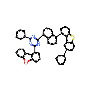 c1ccc(-c2ccc3sc4cccc(-c5cccc6c(-c7nc(-c8ccccc8)nc(-c8cccc9oc%10ccccc%10c89)n7)cccc56)c4c3c2)cc1